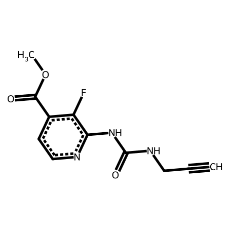 C#CCNC(=O)Nc1nccc(C(=O)OC)c1F